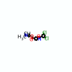 CN(C)[C@H]1C[C@H](OC(=O)c2ccc3nc(-c4cc(Cl)cc(Cl)c4)oc3c2)C1